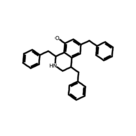 [O]c1cc(Cc2ccccc2)cc2c1C(Cc1ccccc1)NCC2Cc1ccccc1